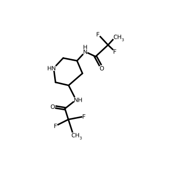 CC(F)(F)C(=O)NC1CNCC(NC(=O)C(C)(F)F)C1